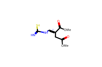 COC(=O)C/C(=C\NC(=N)S)C(=O)OC